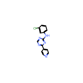 Clc1cccc(Nc2ncnc(-c3ccncc3)n2)c1